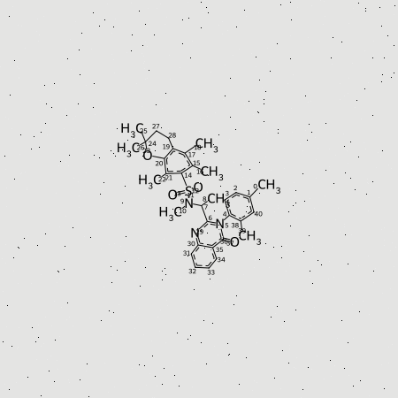 Cc1ccc(-n2c(C(C)N(C)S(=O)(=O)c3c(C)c(C)c4c(c3C)OC(C)(C)CC4)nc3ccccc3c2=O)c(C)c1